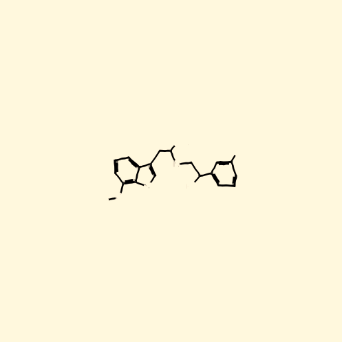 CCOc1cccc2c(CC(C)NCC(O)c3cccc(Cl)c3)c[nH]c12